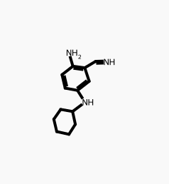 N=Cc1cc(NC2CCCCC2)ccc1N